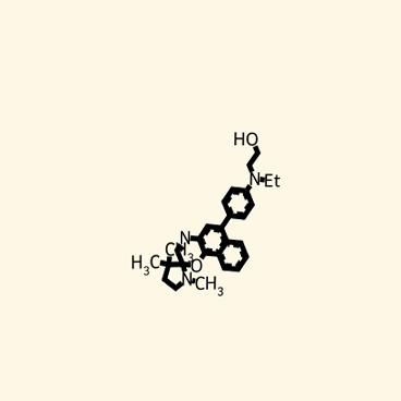 CCN(CCO)c1ccc(-c2cc3c(c4ccccc24)OC2(C=N3)N(C)CCC2(C)C)cc1